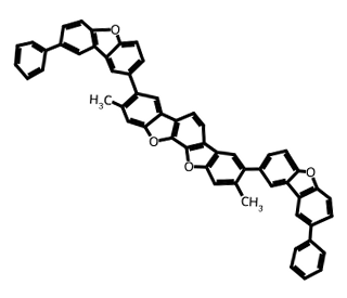 Cc1cc2oc3c(ccc4c5cc(-c6ccc7oc8ccc(-c9ccccc9)cc8c7c6)c(C)cc5oc43)c2cc1-c1ccc2oc3ccc(-c4ccccc4)cc3c2c1